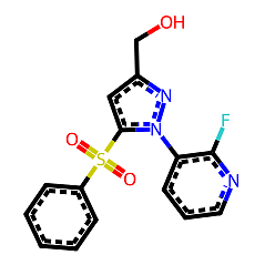 O=S(=O)(c1ccccc1)c1cc(CO)nn1-c1cccnc1F